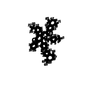 CC(C)(C)c1ccc(N2B3c4oc5cc6c(cc5c4-n4c5ccc(C(C)(C)C)cc5c5c7oc8ccccc8c7c(c3c54)-c3cc4sc5cc7c(cc5c4cc32)C(C)(C)CCC7(C)C)C(C)(C)CCC6(C)C)cc1